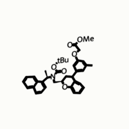 COC(=O)COc1cc(C)cc(C2C[C@H](CN(C(=O)OC(C)(C)C)[C@H](C)c3cccc4ccccc34)Oc3ccccc32)c1